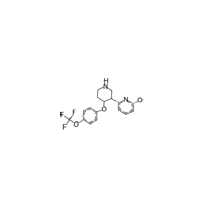 [O]c1cccc(C2CNCCC2Oc2ccc(OC(F)(F)F)cc2)n1